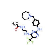 CC(=O)NCCNc1nc(Nc2ccc(CN3CCCCCC3)cc2)ncc1C(F)(F)F